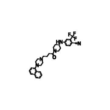 N#Cc1ccc(NC2CCN(C(=O)CCCN3CCN(c4cccc5ccccc45)CC3)CC2)cc1C(F)(F)F